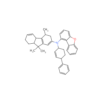 CC1CC(N(c2cccc3oc4ccccc4c23)C2C=CC(c3ccccc3)CC2)=CC2=C1C1C=CCCC1C2(C)C